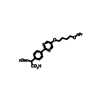 CCCCCCCCCCC(C(=O)O)c1ccc(-c2ncc(OCCCCOCCC)cn2)cc1